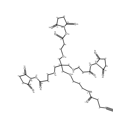 C#CCCC(=O)NCCCOCC(COCCC(=O)ON1C(=O)CCC1=O)(COCCC(=O)ON1C(=O)CCC1=O)COCCC(=O)ON1C(=O)CCC1=O